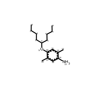 CCCCC(CCCC)Oc1cc(C)c(N)cc1C